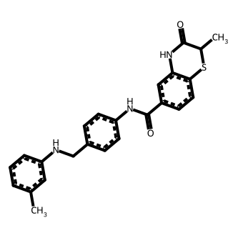 Cc1cccc(NCc2ccc(NC(=O)c3ccc4c(c3)NC(=O)C(C)S4)cc2)c1